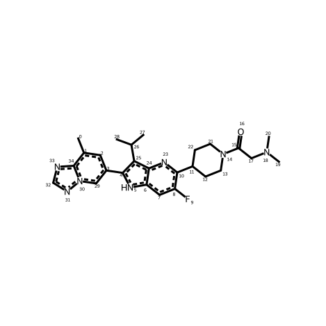 Cc1cc(-c2[nH]c3cc(F)c(C4CCN(C(=O)CN(C)C)CC4)nc3c2C(C)C)cn2ncnc12